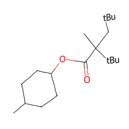 CC1CCC(OC(=O)C(C)(CC(C)(C)C)C(C)(C)C)CC1